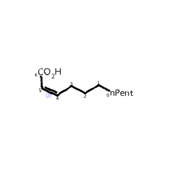 CCCCCCCC/C=C\C(=O)O